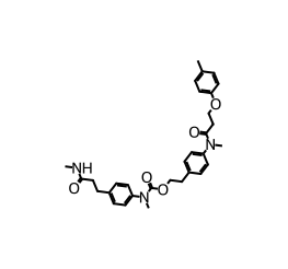 CNC(=O)CCc1ccc(N(C)C(=O)OCCc2ccc(N(C)C(=O)CCOc3ccc(C)cc3)cc2)cc1